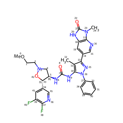 COCCN1C[C@@H](NC(=O)Nc2c(C)c(-c3cnc4c(c3)[nH]c(=O)n4C)nn2-c2ccccc2)[C@H](c2cnc(F)c(F)c2)O1